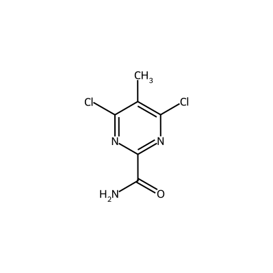 Cc1c(Cl)nc(C(N)=O)nc1Cl